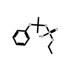 CCOP(=O)(O)OC(C)(C)Oc1ccccc1